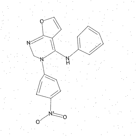 O=[N+]([O-])c1ccc(N2CN=c3occc3=C2Nc2ccccc2)cc1